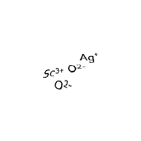 [Ag+].[O-2].[O-2].[Sc+3]